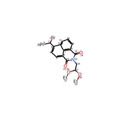 CCCC(Br)c1ccc2c3c(cccc13)C(=O)N(CC(OCC)OCC)C2=O